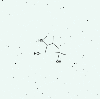 CC(C)(O)CC1CCNC1CO